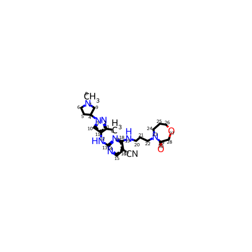 Cc1nn(C2CCN(C)C2)cc1Nc1ncc(C#N)c(NCCCN2CCCOCC2=O)n1